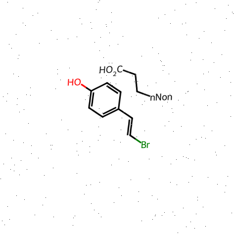 CCCCCCCCCCCC(=O)O.Oc1ccc(C=CBr)cc1